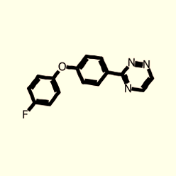 Fc1ccc(Oc2ccc(-c3nccnn3)cc2)cc1